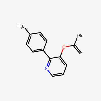 Bc1ccc(-c2ncccc2OC(=C)C(C)(C)C)cc1